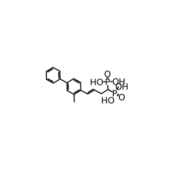 Cc1cc(-c2ccccc2)ccc1C=CCC(P(=O)(O)O)P(=O)(O)O